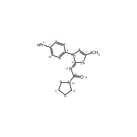 CCCc1ccc(-n2cc(C)s/c2=N\C(=O)N2CCCC2)cc1